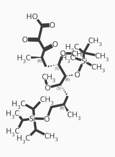 CO[C@@H](C[C@@H](C)CO[Si](C(C)C)(C(C)C)C(C)C)[C@@H](O[Si](C)(C)C(C)(C)C)[C@H](C[C@@H](C)C(=O)C(=O)C(=O)O)OC